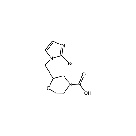 O=C(O)N1CCOC(Cn2ccnc2Br)C1